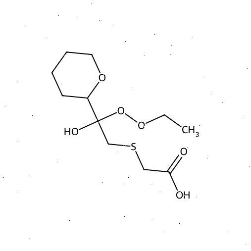 CCOOC(O)(CSCC(=O)O)C1CCCCO1